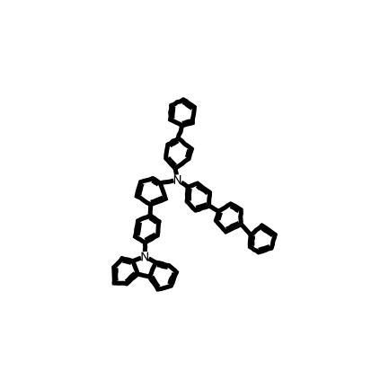 c1ccc(-c2ccc(-c3ccc(N(c4ccc(-c5ccccc5)cc4)c4cccc(-c5ccc(-n6c7ccccc7c7ccccc76)cc5)c4)cc3)cc2)cc1